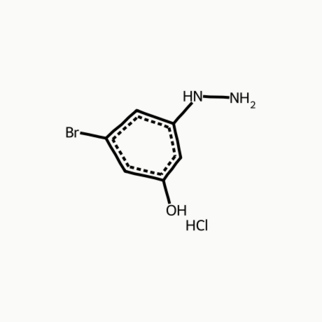 Cl.NNc1cc(O)cc(Br)c1